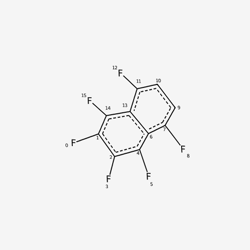 Fc1c(F)c(F)c2c(F)ccc(F)c2c1F